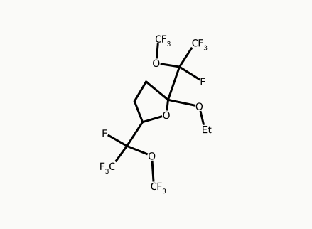 CCOC1(C(F)(OC(F)(F)F)C(F)(F)F)CCC(C(F)(OC(F)(F)F)C(F)(F)F)O1